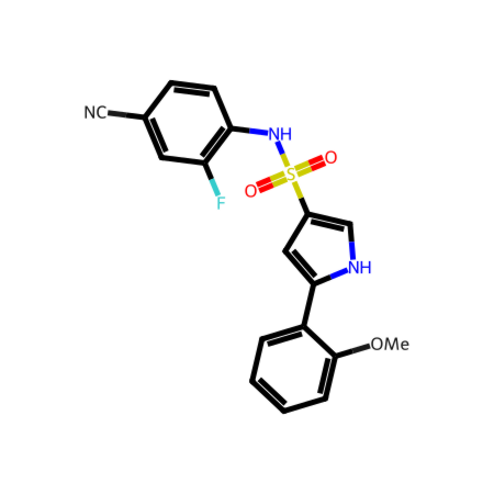 COc1ccccc1-c1cc(S(=O)(=O)Nc2ccc(C#N)cc2F)c[nH]1